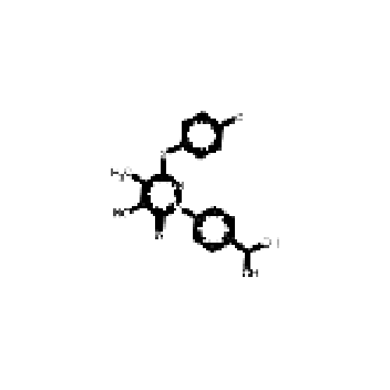 Cc1c(Sc2ccc(Cl)cc2)nn(-c2ccc(C(O)O)cc2)c(=O)c1C#N